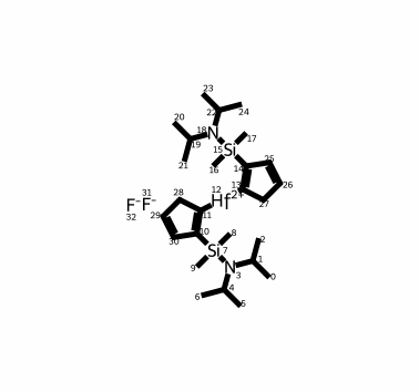 CC(C)N(C(C)C)[Si](C)(C)C1=[C]([Hf+2][C]2=C([Si](C)(C)N(C(C)C)C(C)C)C=CC2)CC=C1.[F-].[F-]